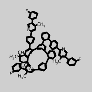 Cc1cc(-c2ccc(-c3ccccc3-c3cc4cc(c3)-c3cc5c(cc3-c3ccc(-c6cc(C)c(-c7cccc(F)c7)cn6)cc3)C(C)(C)CCC5(C)c3nc(cc(C)c3-c3cccc(F)c3)-c3ccc(cc3)-c3ccccc3-4)cc2)ncc1-c1cccc(F)c1